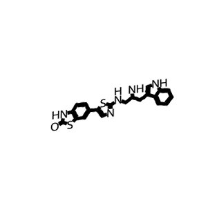 NC(CNc1ncc(-c2ccc3[nH]c(=O)sc3c2)s1)Cc1c[nH]c2ccccc12